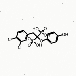 O=P(O)(O)C(Cc1ccc(Cl)c(Cl)c1)(Oc1ccc(O)cc1)P(=O)(O)O